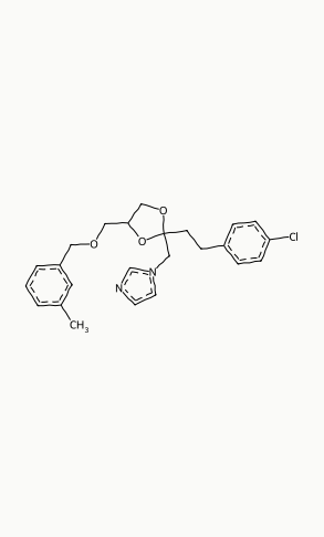 Cc1cccc(COCC2COC(CCc3ccc(Cl)cc3)(Cn3ccnc3)O2)c1